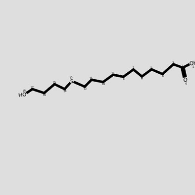 O=C(O)CCCCCCCCCCSCCCCO